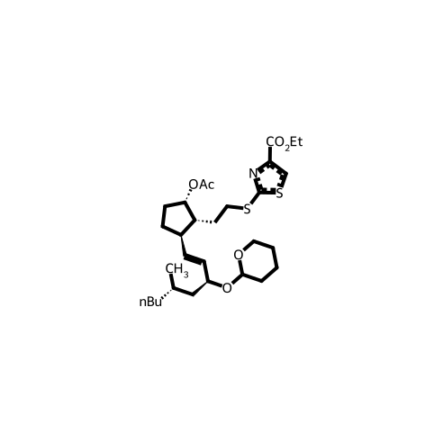 CCCC[C@H](C)C[C@@H](/C=C/[C@H]1CC[C@H](OC(C)=O)[C@@H]1CCSc1nc(C(=O)OCC)cs1)OC1CCCCO1